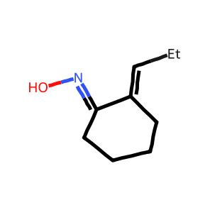 CCC=C1CCCCC1=NO